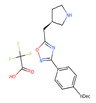 CCCCCCCCCCc1ccc(-c2noc(C[C@H]3CCNC3)n2)cc1.O=C(O)C(F)(F)F